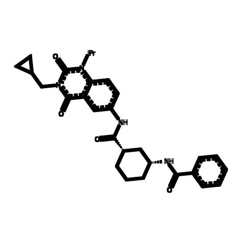 CC(C)n1c(=O)n(CC2CC2)c(=O)c2cc(NC(=O)[C@H]3CCC[C@@H](NC(=O)c4ccccc4)C3)ccc21